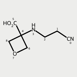 N#CCCNC1(C(=O)O)COC1